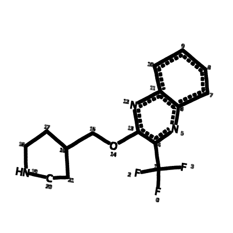 FC(F)(F)c1nc2ccccc2nc1OCC1CCNCC1